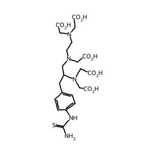 NC(=S)Nc1ccc(CC(CN(CCN(CC(=O)O)CC(=O)O)CC(=O)O)N(CC(=O)O)CC(=O)O)cc1